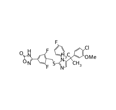 COc1cc(C(C)(C)c2cnc(SCc3c(F)cc(-c4noc(=O)[nH]4)cc3F)n2-c2ccc(F)cc2)ccc1Cl